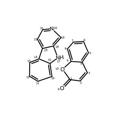 O=c1ccc2ccccc2o1.c1ccc2c(c1)[nH]c1cnccc12